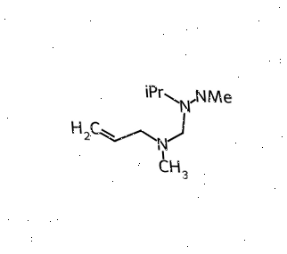 C=CCN(C)CN(NC)C(C)C